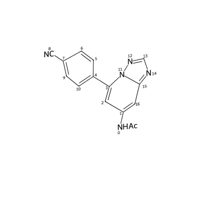 CC(=O)Nc1cc(-c2ccc(C#N)cc2)n2ncnc2c1